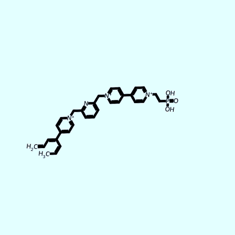 C=C/C=C(\C=C/C)c1cc[n+](Cc2cccc(C[n+]3ccc(-c4cc[n+](CCP(=O)(O)O)cc4)cc3)n2)cc1